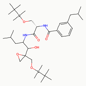 CC(C)Cc1cccc(C(=O)N[C@@H](CO[Si](C)(C)C(C)(C)C)C(=O)NC(CC(C)C)C(O)C2(CO[Si](C)(C)C(C)(C)C)CO2)c1